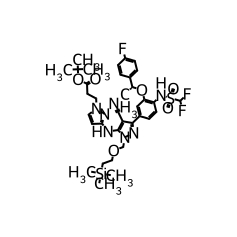 C[C@H](Oc1cc(-c2nn(COCC[Si](C)(C)C)c(Nc3ccn(CCC(=O)OC(C)(C)C)n3)c2C#N)ccc1NS(=O)(=O)C(F)F)c1ccc(F)cc1